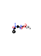 CC(=O)OCc1nc(C2CC(Nc3cc(-c4ccccc4)no3)C2)no1